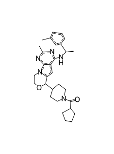 Cc1cccc([C@@H](C)Nc2nc(C)nc3c2cc2n3CCOC2C2CCN(C(=O)C3CCCC3)CC2)c1